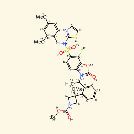 COc1ccc(CN(c2nccs2)S(=O)(=O)c2ccc3c(oc(=O)n3C(C)c3ccccc3C3(OC)CN(C(=O)OC(C)(C)C)C3)c2F)c(OC)c1